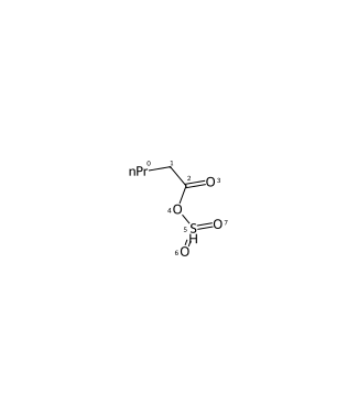 CCCCC(=O)O[SH](=O)=O